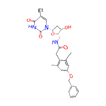 CCc1cn([C@@H]2CC(O)[C@H](CNC(=O)Cc3c(C)cc(OCc4ccccc4)cc3C)O2)c(=O)[nH]c1=O